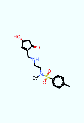 CCN(CCNCC1=CC(O)CC1=O)S(=O)(=O)c1ccc(C)cc1